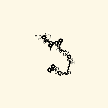 CN(CCN1CCC(OC(=O)Nc2ccccc2-c2ccccc2)CC1)C(=O)CCCCCNc1nc2ccc(C(=O)N(C)CCCN(C)C(=O)CO[C@H]3Cc4ccccc4C34CCN(CC[C@@]3(c5ccc(F)cc5)CN(C(=O)c5cc(C(F)(F)F)cc(C(F)(F)F)c5)CO3)CC4)cc2s1